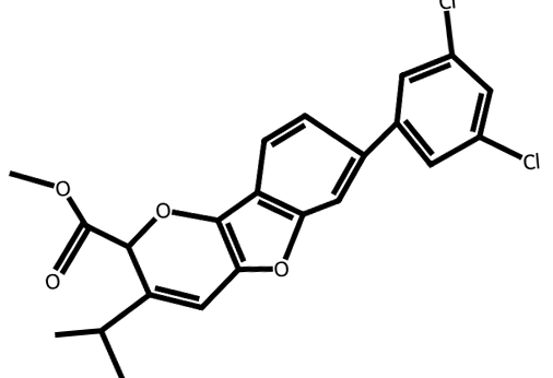 COC(=O)C1Oc2c(oc3cc(-c4cc(Cl)cc(Cl)c4)ccc23)C=C1C(C)C